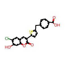 O=C(O)c1ccc(Cc2ccc(-c3cc4cc(Cl)c(O)cc4oc3=O)s2)cc1